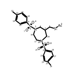 CC(=O)SCC1CN(S(=O)(=O)c2ccc(C)cc2)CCN(S(=O)(=O)c2ccc(C)cc2)C1